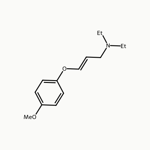 CCN(CC)CC=COc1ccc(OC)cc1